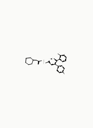 O=C(CC1CCCCC1)NNc1cc(-c2ccc(Cl)cc2)c(-c2ccccc2Cl)nn1